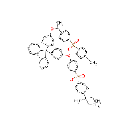 CCC(C)(CC)c1ccc(S(=O)(=O)c2ccc(Oc3ccc(C4(c5ccc(OC(C)c6ccc(S(=O)(=O)c7ccc(C)cc7)cc6)cc5)c5ccccc5-c5ccccc54)cc3)cc2)cc1